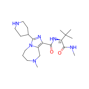 CNC(=O)[C@@H](NC(=O)c1nc(C2CCNCC2)n2c1CN(C)CCC2)C(C)(C)C